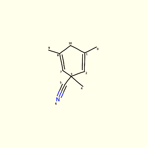 CC1=CC(C)(C#N)C=C(C)C1